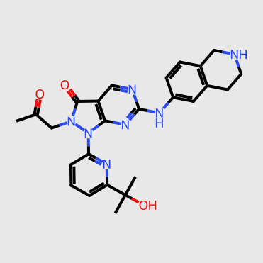 CC(=O)Cn1c(=O)c2cnc(Nc3ccc4c(c3)CCNC4)nc2n1-c1cccc(C(C)(C)O)n1